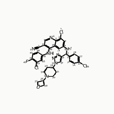 N#Cc1cnc2c(Cl)cc(NC(c3ccc(Cl)cc3)c3cn(C4CCN(C5COC5)CC4)nn3)cc2c1Nc1ccc(F)c(Cl)c1